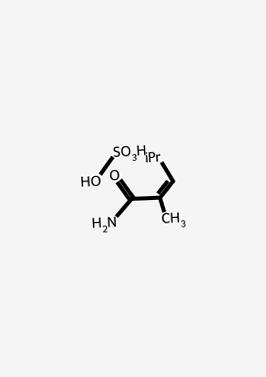 CC(=CC(C)C)C(N)=O.O=S(=O)(O)O